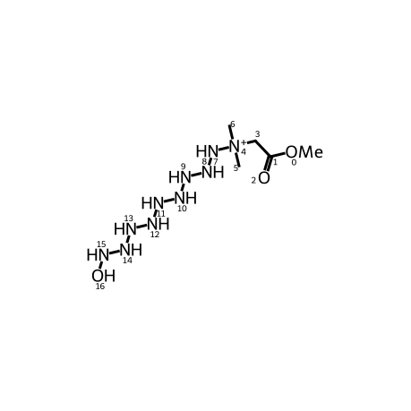 COC(=O)C[N+](C)(C)NNNNNNNNNO